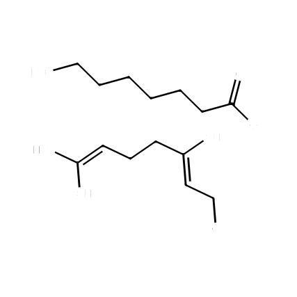 CC(C)=CCCC(C)=CCO.CCCCCCCC(=O)O